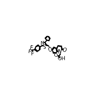 O=C(O)CN1C(=O)CCc2cc(OCc3sc(-c4ccc(C(F)(F)F)cc4)nc3-c3ccccc3)ccc21